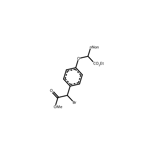 CCCCCCCCCC(Oc1ccc(C(Br)C(=O)OC)cc1)C(=O)OCC